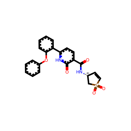 O=C(N[C@@H]1C=CS(=O)(=O)C1)c1ccc(-c2ccccc2Oc2ccccc2)[nH]c1=O